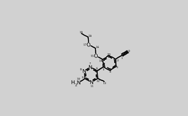 C#Cc1ccc(-c2nnc(N)nc2C)c(OCOCC)c1